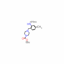 CCCCCCNc1cc(C)ccc1CN1CCN(C(=O)OC(C)(C)C)CC1